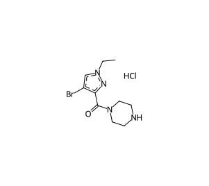 CCn1cc(Br)c(C(=O)N2CCNCC2)n1.Cl